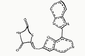 O=C1NC(=O)C(=Cc2cc3cncc(-c4nc5ccccc5s4)c3o2)S1